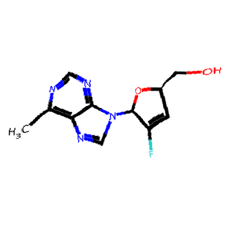 Cc1ncnc2c1ncn2C1O[C@@H](CO)C=C1F